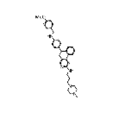 COc1ccc(CNc2ccc(C3Cc4cnc(NCCCN5CCN(C)CC5)nc4-c4ccccc43)cc2)cn1